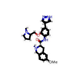 COc1ccc2c(c1)C[C@H](C(=O)Nc1ccc(-c3cn[nH]c3)cc1OCC1CCCN1C)N(C)C2